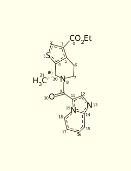 CCOC(=O)c1csc2c1CCN(C(=O)c1cnc3ccccn13)[C@@H]2C